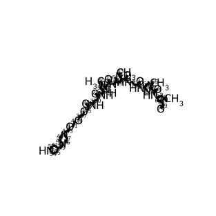 Cn1cc(NC(=O)c2nc(NC(=O)CCNC(=O)c3cc(NC(=O)c4nc(NC(=O)CCNC(=O)COCCOCCOCCN5CCN(CC6CCNCC6)CC5)cn4C)cn3C)cn2C)cc1C=O